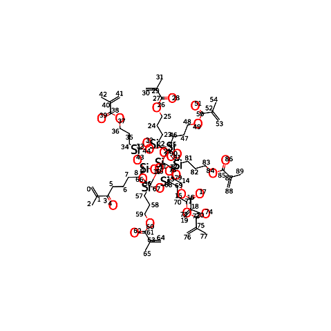 C=C(C)C(=O)CCCC[Si]12O[Si]3(CCCOC(=O)C(=C)C)O[Si]4(CCCOC(=O)C(=C)C)O[Si](CCCOC(=O)C(=C)C)(O1)O[Si]1(CCCOC(=O)C(=C)C)O[Si](CCCOC(=O)C(=C)C)(O2)O[Si](CCCOC(=O)C(=C)C)(O3)O[Si](CCCOC(=O)C(=C)C)(O4)O1